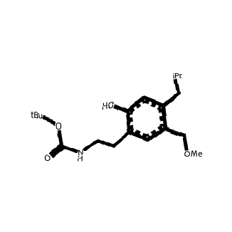 COCc1cc(CCNC(=O)OC(C)(C)C)c(O)cc1CC(C)C